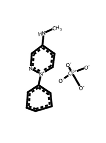 CNc1cc[n+](-c2ccccc2)nc1.[O-][Cl+3]([O-])([O-])[O-]